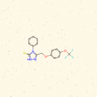 FC(F)(F)Oc1ccc(OCc2n[nH]c(=S)n2-c2ccccc2)cc1